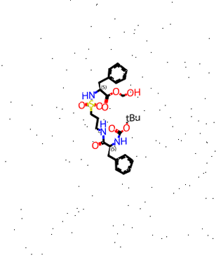 CC(C)(C)OC(=O)N[C@@H](Cc1ccccc1)C(=O)NCCCS(=O)(=O)N[C@@H](Cc1ccccc1)C(=O)OCO